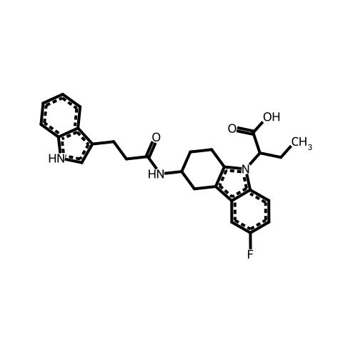 CCC(C(=O)O)n1c2c(c3cc(F)ccc31)CC(NC(=O)CCc1c[nH]c3ccccc13)CC2